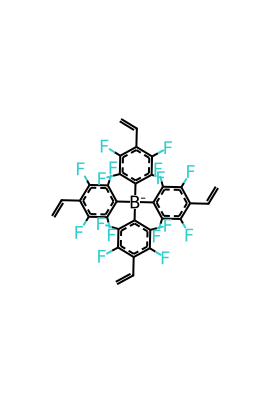 C=Cc1c(F)c(F)c([B-](c2c(F)c(F)c(C=C)c(F)c2F)(c2c(F)c(F)c(C=C)c(F)c2F)c2c(F)c(F)c(C=C)c(F)c2F)c(F)c1F